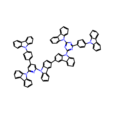 c1ccc2c(c1)c1ccccc1n2-c1ccc(-c2cc(-n3c4ccccc4c4ccccc43)nc(-n3c4ccccc4c4cc(-c5ccc6c(c5)c5ccccc5n6-c5nc(-c6ccc(-n7c8ccccc8c8ccccc87)cc6)nc(-n6c7ccccc7c7ccccc76)n5)ccc43)c2)cc1